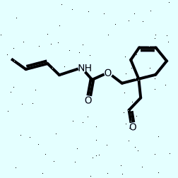 CC=CCNC(=O)OCC1(CC=O)CC=CCC1